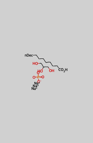 CCCCCCCCCCCCCCCCCC(=O)O.O=P([O-])([O-])[O-].OCC(O)CO.[Na+].[Na+].[Na+]